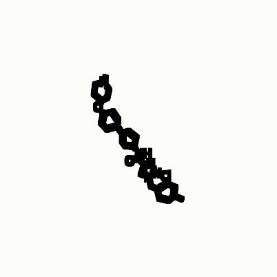 Cc1ccc(Cn2cc(C(=O)Nc3ccc(-c4ccc(OC5CCN(C)CC5)cc4)cc3)nn2)c(Cl)c1